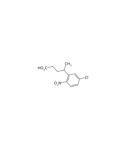 CC(CCC(=O)O)c1cc(Cl)ccc1[N+](=O)[O-]